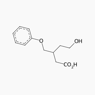 O=C(O)CC(CCO)COc1ccccc1